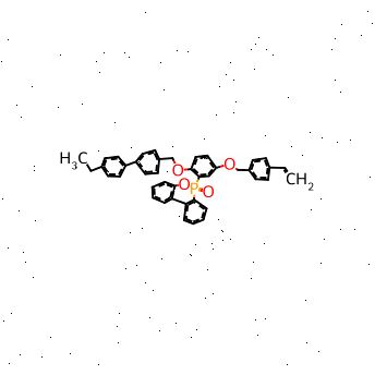 C=Cc1ccc(COc2ccc(OCc3ccc(-c4ccc(CC)cc4)cc3)c(P3(=O)Oc4ccccc4-c4ccccc43)c2)cc1